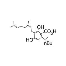 CCCCC(C)c1cc(O)c(CC=C(C)CCC=C(C)C)c(O)c1C(=O)O